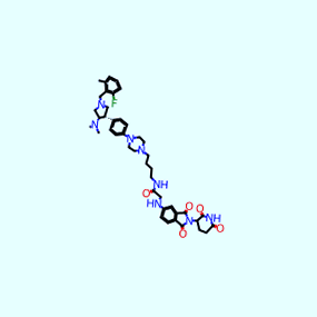 Cc1cccc(F)c1CN1C[C@H](c2ccc(N3CCN(CCCCNC(=O)CNc4ccc5c(c4)C(=O)N(C4CCC(=O)NC4=O)C5=O)CC3)cc2)[C@@H](N(C)C)C1